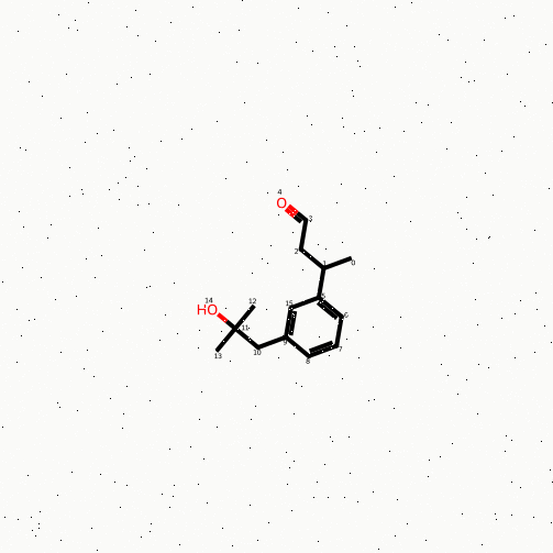 CC(CC=O)c1cccc(CC(C)(C)O)c1